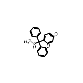 NNC(c1ccccc1)(c1ccccc1)c1ccccc1Cl.O